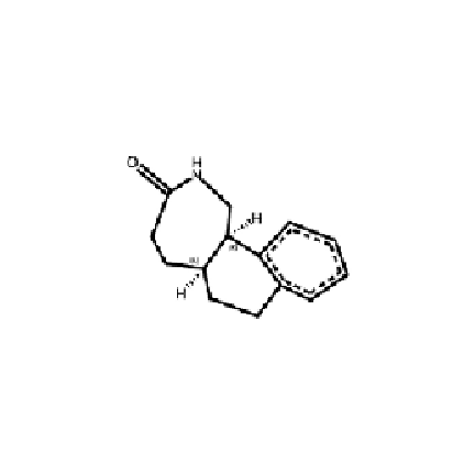 O=C1CC[C@@H]2CCc3ccccc3[C@@H]2CN1